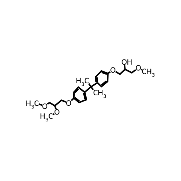 COCC(O)COc1ccc(C(C)(C)c2ccc(OCC(COC)OC)cc2)cc1